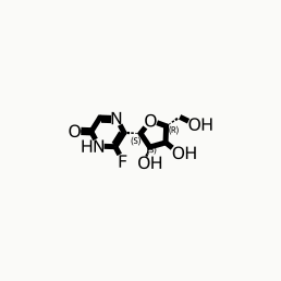 O=c1cnc([C@@H]2O[C@H](CO)C(O)[C@@H]2O)c(F)[nH]1